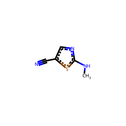 CNc1ncc(C#N)s1